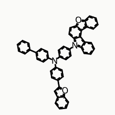 c1ccc(-c2ccc(N(c3ccc(-c4cc5ccccc5o4)cc3)c3ccc(-n4c5ccccc5c5c6c(ccc54)oc4ccccc46)cc3)cc2)cc1